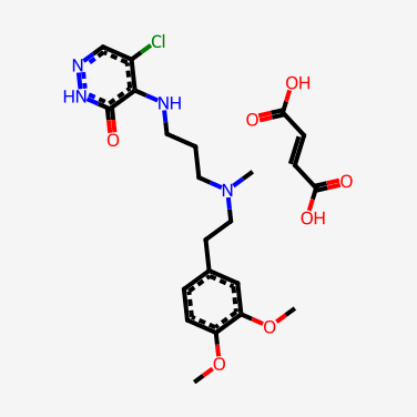 COc1ccc(CCN(C)CCCNc2c(Cl)cn[nH]c2=O)cc1OC.O=C(O)/C=C/C(=O)O